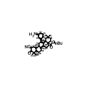 CCCCOC(=O)[C@]12CCC(C)(C)C[C@H]1C1=C(c3cccc(N)c3)CC3[C@@]4(C)CC(C#N)C(=O)C(C)(C)[C@@H]4CC[C@@]3(C)[C@]1(C)CC2